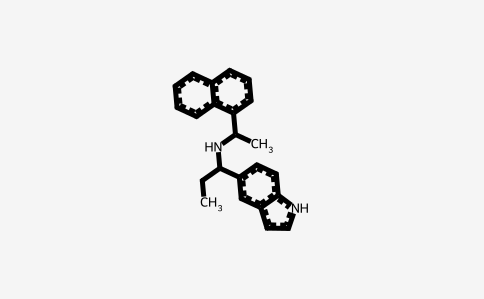 CCC(NC(C)c1cccc2ccccc12)c1ccc2[nH]ccc2c1